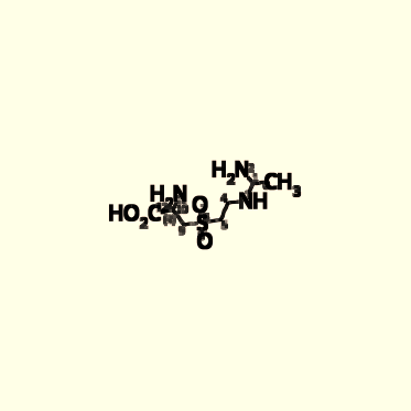 CC(N)NCCS(=O)(=O)C[C@H](N)C(=O)O